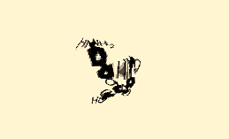 CC(=O)Nc1cccc(N2C(=O)[C@H](CC(=O)O)C[C@H]2COc2ccc(-c3ccc(C(=N)N)cc3)cc2)c1